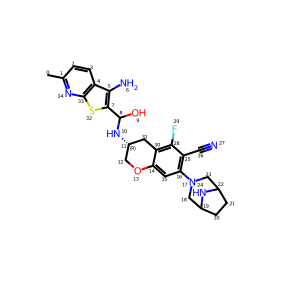 Cc1ccc2c(N)c(C(O)N[C@H]3COc4cc(N5CC6CCC(C5)N6)c(C#N)c(F)c4C3)sc2n1